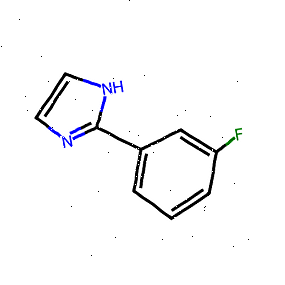 Fc1cccc(-c2ncc[nH]2)c1